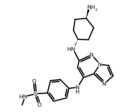 CNS(=O)(=O)c1ccc(Nc2cc(N[C@H]3CC[C@H](N)CC3)nn3ccnc23)cc1